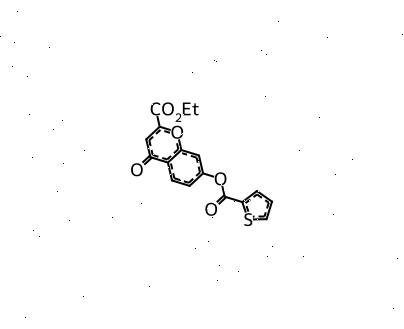 CCOC(=O)c1cc(=O)c2ccc(OC(=O)c3cccs3)cc2o1